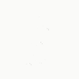 CC(C)(C)OC(N)=O.COCC1CCN(C(=O)OCc2ccccc2)CC1NC(=O)OC(C)(C)C